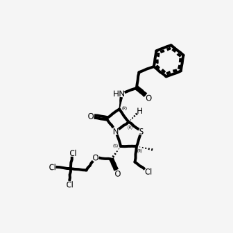 C[C@@]1(CCl)S[C@@H]2[C@H](NC(=O)Cc3ccccc3)C(=O)N2[C@H]1C(=O)OCC(Cl)(Cl)Cl